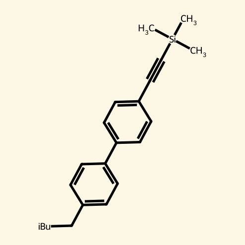 CCC(C)Cc1ccc(-c2ccc(C#C[Si](C)(C)C)cc2)cc1